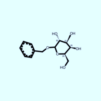 OC[C@H]1OC(OCc2ccccc2)[C@H](O)[C@@H](O)[C@H]1O